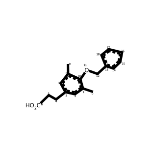 Cc1cc(C[CH]C(=O)O)cc(C)c1OCc1ccccc1